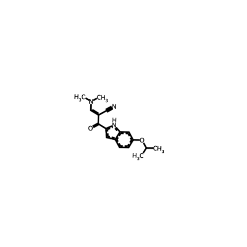 CC(C)Oc1ccc2cc(C(=O)C(C#N)=CN(C)C)[nH]c2c1